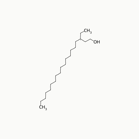 CCCCCCCCCCCCCCCC[C](CC)CCO